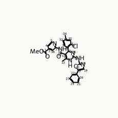 COC(=O)c1ccnc(NC(=O)C2=C(C)NC(Nc3ncc(-c4ccccc4)o3)=NC2c2ccc(C)cc2Cl)c1